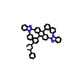 CCC(CC(C)c1ccccc1)c1ccc(-c2c3ccc(-c4nc5ccccc5n4-c4ccccc4)cc3c(-c3ccccc3)c3ccc(-c4nc5ccccc5n4-c4ccccc4)cc23)cc1